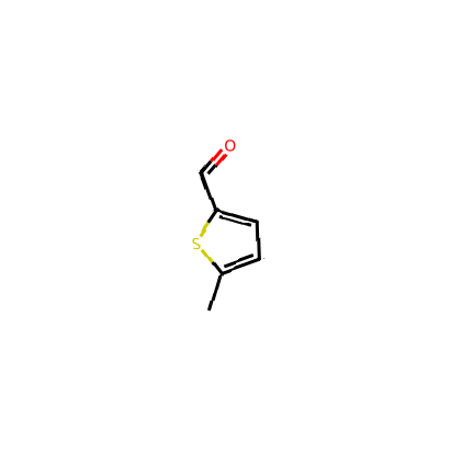 Cc1[c]cc(C=O)s1